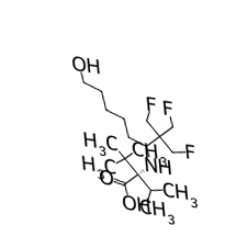 CC(C)[C@@](NC(CCCCCO)C(CF)(CF)CF)(C(=O)O)C(C)(C)C